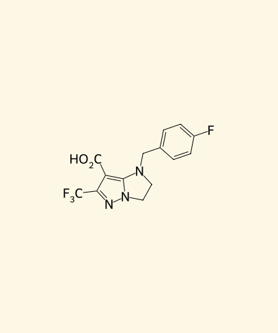 O=C(O)c1c(C(F)(F)F)nn2c1N(Cc1ccc(F)cc1)CC2